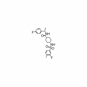 Cc1ccc(S(=O)(=O)N[C@H]2CC[C@H](C(=O)N[C@H](C)c3ccc(F)cc3)CC2)cc1F